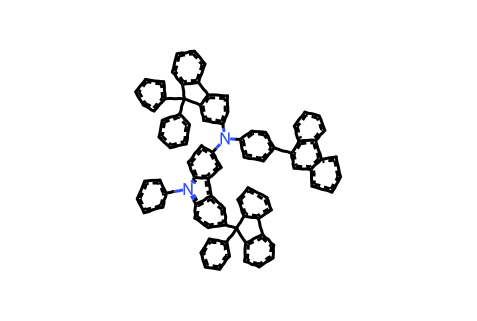 c1ccc(-n2c3ccc(N(c4ccc(-c5cc6ccccc6c6ccccc56)cc4)c4ccc5c(c4)C(c4ccccc4)(c4ccccc4)c4ccccc4-5)cc3c3cc(C4(c5ccccc5)c5ccccc5-c5ccccc54)ccc32)cc1